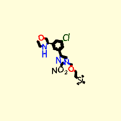 C[Si](C)(C)CCOCn1cc(-c2cc(Cl)cc([C@@H]3COCCN3)c2)nc1[N+](=O)[O-]